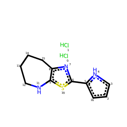 Cl.Cl.c1c[nH]c(-c2nc3c(s2)NCCCC3)c1